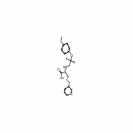 CSc1ccc(OC(F)(F)CNC(CSCc2cccnc2)C(=O)O)cc1